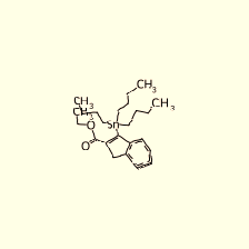 CCC[CH2][Sn]([CH2]CCC)([CH2]CCC)[C]1=C(C(=O)OCC)Cc2ccccc21